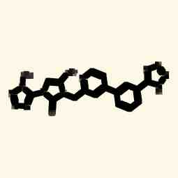 CCCc1cn(-c2nnnn2C(C)(C)C)c(=O)n1Cc1cc(-c2cccc(-c3nnn[nH]3)c2)ccn1